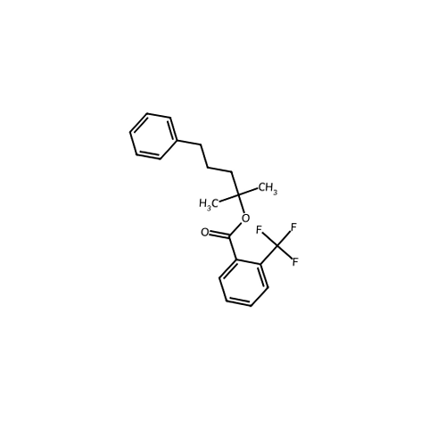 CC(C)(CCCc1ccccc1)OC(=O)c1ccccc1C(F)(F)F